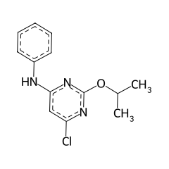 CC(C)Oc1nc(Cl)cc(Nc2ccccc2)n1